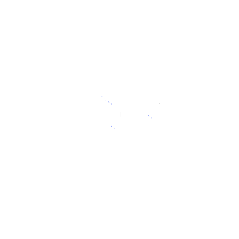 CC(=O)N1CC[C@H]2CCN(c3nnc(Cl)cc3C(F)F)[C@H]2C1